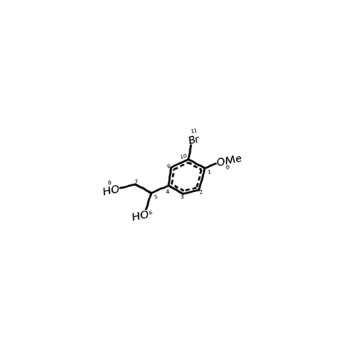 COc1ccc(C(O)CO)cc1Br